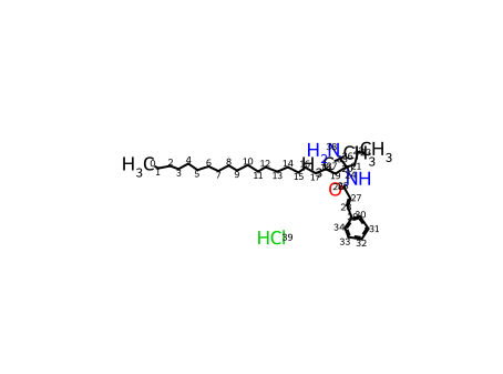 CCCCCCCCCCCCCCCCCCCCC(CCC)(NC(=O)C=Cc1ccccc1)C(C)(C)N.Cl